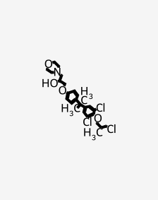 CC(CCl)COc1c(Cl)cc(C(C)(C)c2ccc(OCC(O)CN3CCOCC3)cc2)cc1Cl